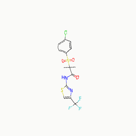 CC(C)(C(=O)Nc1nc(C(F)(F)F)cs1)S(=O)(=O)c1ccc(Cl)cc1